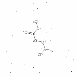 CC(Cl)OOC(=O)OCl